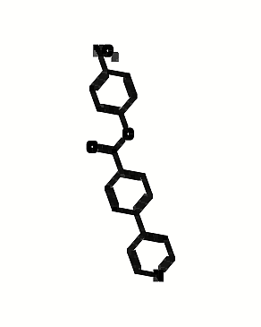 O=C(Oc1ccc([N+](=O)[O-])cc1)c1ccc(-c2ccncc2)cc1